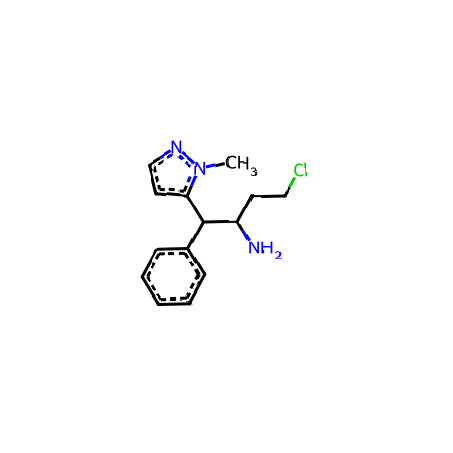 Cn1nccc1C(c1ccccc1)C(N)CCCl